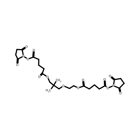 CC(C)(COCCOC(=O)CCCC(=O)ON1C(=O)CCC1=O)COC(=O)CCCC(=O)ON1C(=O)CCC1=O